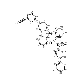 N#Cc1cncc(-c2ccc3c(c2)c2ccccc2n3-c2cccc3c2C(O)N(c2ccc(-c4ccccc4)cc2)C3=O)c1